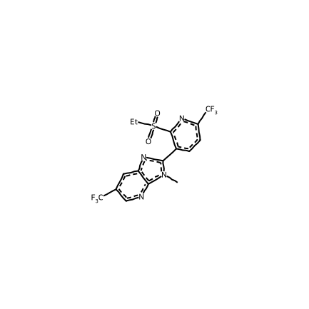 CCS(=O)(=O)c1nc(C(F)(F)F)ccc1-c1nc2cc(C(F)(F)F)cnc2n1C